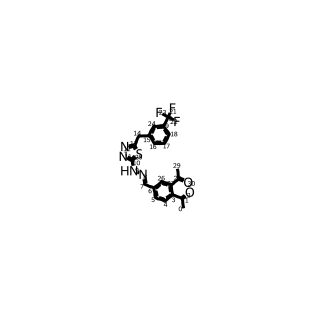 CC(=O)c1ccc(/C=N/Nc2nnc(Cc3cccc(C(F)(F)F)c3)s2)cc1C(C)=O